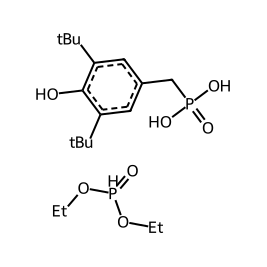 CC(C)(C)c1cc(CP(=O)(O)O)cc(C(C)(C)C)c1O.CCO[PH](=O)OCC